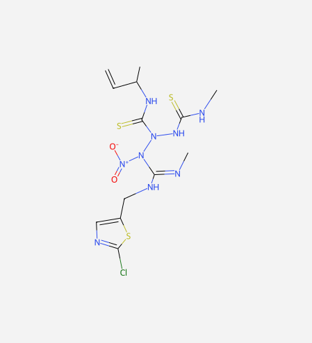 C=CC(C)NC(=S)N(NC(=S)NC)N(C(=NC)NCc1cnc(Cl)s1)[N+](=O)[O-]